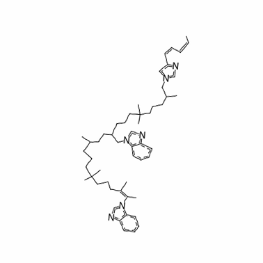 C/C=C\C=C/c1cn(CC(C)CCCC(C)(C)CCCC(CCC(C)CCCC(C)(C)CCC/C(C)=C(/C)n2cnc3ccccc32)Cn2cnc3ccccc32)cn1